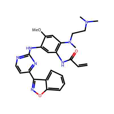 C=CC(=O)Nc1cc(Nc2nccc(-c3noc4ccccc34)n2)c(OC)cc1N(C)CCN(C)C